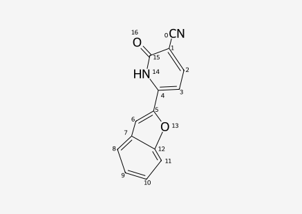 N#Cc1ccc(-c2cc3ccccc3o2)[nH]c1=O